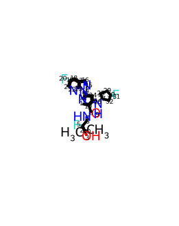 CC(C)(O)C(F)CNC(=O)c1cnc(-n2ncc3cc(F)cnc32)cc1NC1CCC(F)C1